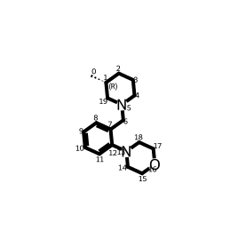 C[C@@H]1CCCN(Cc2ccccc2N2CCOCC2)C1